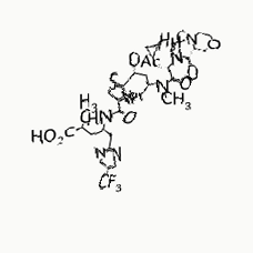 CC(=O)O[C@H](CC(C(C)C)N(C)C(=O)[C@H](CC1CC1)NC(=O)[C@H]1COCCN1C)c1nc(C(=O)N[C@@H](Cc2ncc(C(F)(F)F)cn2)C[C@H](C)C(=O)O)cs1